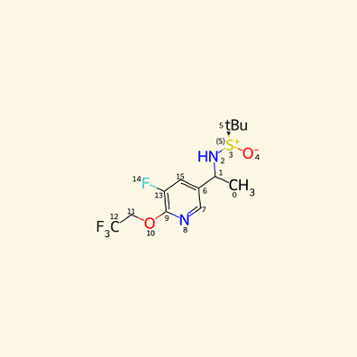 CC(N[S@+]([O-])C(C)(C)C)c1cnc(OCC(F)(F)F)c(F)c1